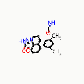 Cc1cccc(C)c1.N=C=O.N=C=O.N=C=O.c1ccc2ccccc2c1